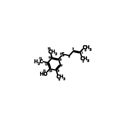 CC(C)=CCSc1cc(C)c(O)c(C)c1C